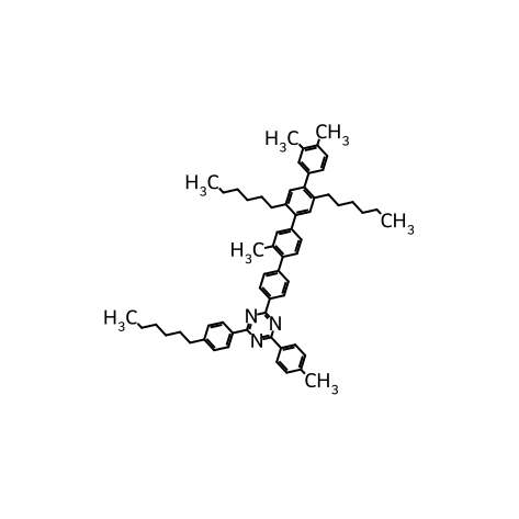 CCCCCCc1ccc(-c2nc(-c3ccc(C)cc3)nc(-c3ccc(-c4ccc(-c5cc(CCCCCC)c(-c6ccc(C)c(C)c6)cc5CCCCCC)cc4C)cc3)n2)cc1